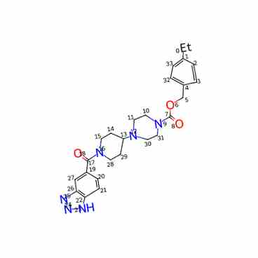 CCc1ccc(COC(=O)N2CCN(C3CCN(C(=O)c4ccc5[nH]nnc5c4)CC3)CC2)cc1